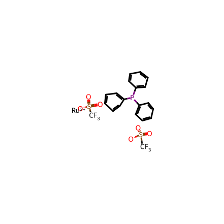 O=S(=O)([O-])C(F)(F)F.O=S(=O)([O-])C(F)(F)F.[Ru+2].c1ccc(P(c2ccccc2)c2ccccc2)cc1